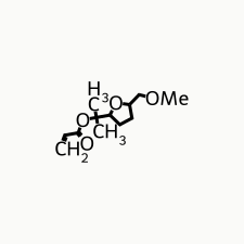 C=CC(=O)OC(C)(C)C1CCC(COC)O1